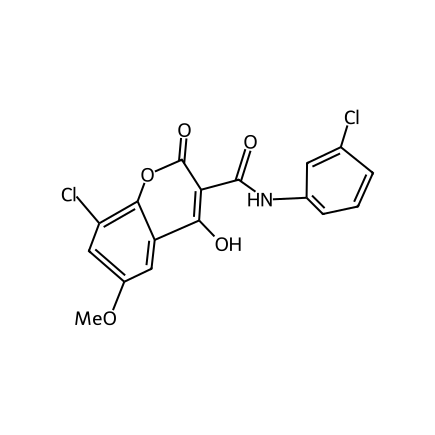 COc1cc(Cl)c2oc(=O)c(C(=O)Nc3cccc(Cl)c3)c(O)c2c1